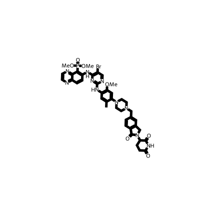 COc1cc(N2CCN(Cc3ccc4c(c3)CN(C3CCC(=O)NC3=O)C4=O)CC2)c(C)cc1Nc1ncc(Br)c(Nc2ccc3nccnc3c2P(=O)(OC)OC)n1